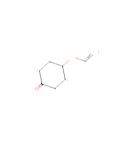 C=COC1CCC(=O)CC1